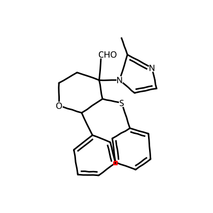 Cc1nccn1C1(C=O)CCOC(c2ccccc2)C1Sc1ccccc1